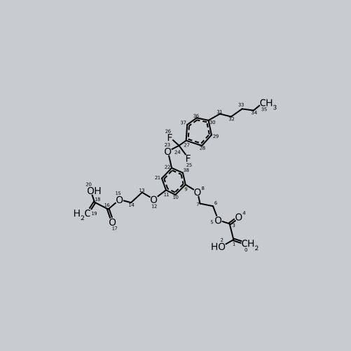 C=C(O)C(=O)OCCOc1cc(OCCOC(=O)C(=C)O)cc(OC(F)(F)c2ccc(CCCCC)cc2)c1